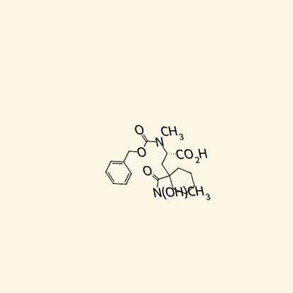 CN(O)C(=O)C1(C[C@@H](C(=O)O)N(C)C(=O)OCc2ccccc2)CCCCC1